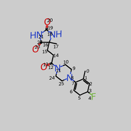 CC1=CC(F)CC=C1N1CCN(C(=O)CCC2(C)NC(=O)NC2=O)CC1